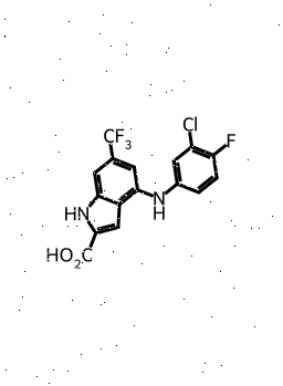 O=C(O)c1cc2c(Nc3ccc(F)c(Cl)c3)cc(C(F)(F)F)cc2[nH]1